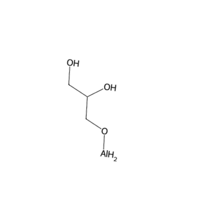 OCC(O)C[O][AlH2]